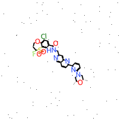 C[C@@H]1CN(c2cccc(-c3ccc4cnc(CNC(=O)c5cc(Cl)c6c(c5)S(=O)(=O)C(F)CCO6)cc4n3)n2)C[C@H](C)O1